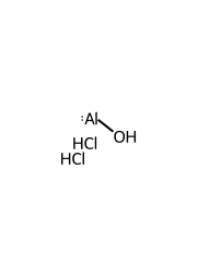 Cl.Cl.[OH][Al]